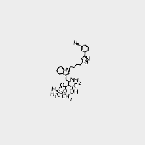 CC(C)(C)OC(=O)C(C(=O)O)C(N)Cc1cn(CCCCc2cc(-c3cccc(C#N)c3)no2)c2ccccc12